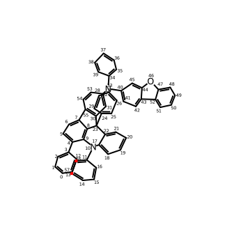 c1ccc(-c2ccc3c4c2N(c2ccccc2)c2ccccc2C4(c2ccccc2)c2cc(N(c4ccccc4)c4ccc5c(c4)oc4ccccc45)ccc2-3)cc1